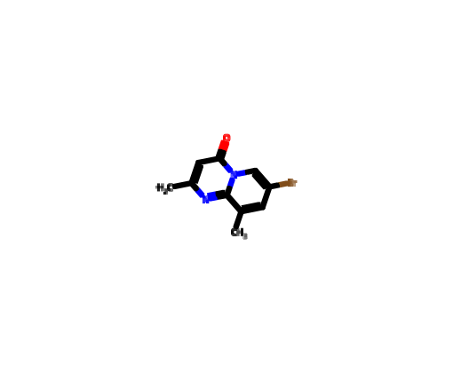 [CH2]c1cc(=O)n2cc(Br)cc(C)c2n1